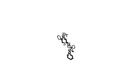 CC(C)N1CC(=NOC(=O)N(C)SN2CCCCC2)SCC1=O